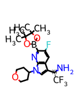 CC1(C)OB(c2nc3c(cc2F)c([C@H](N)C(F)(F)F)cn3C2CCOCC2)OC1(C)C